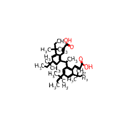 CCC(C)(C)c1cc(C(C)c2cc(C(C)(C)CC)cc(C(C)(C)CC)c2C=CC(=O)O)c(C=CC(=O)O)c(C(C)(C)CC)c1